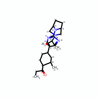 CCC(=O)C1CCC(c2cnc(N3C4CCC3CN(C(C)C)C4)nc2)CC1C